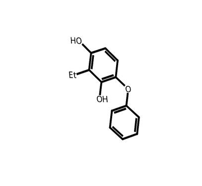 CCc1c(O)ccc(Oc2ccccc2)c1O